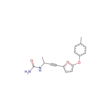 Cc1ccc(Oc2ccc(C#CC(C)NC(N)=O)o2)cc1